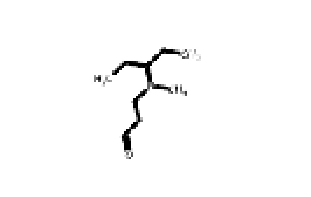 CCC(CC)N(C)CCC=O